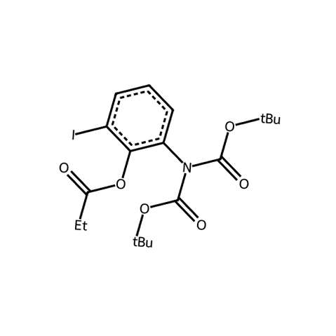 CCC(=O)Oc1c(I)cccc1N(C(=O)OC(C)(C)C)C(=O)OC(C)(C)C